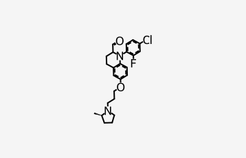 C[C@@H]1CCCN1CCCOc1ccc2c(c1)CCC(C=O)N2c1ccc(Cl)cc1F